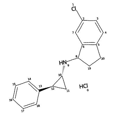 Cl.Clc1ccc2c(c1)C(N[C@@H]1C[C@H]1c1ccccc1)CC2